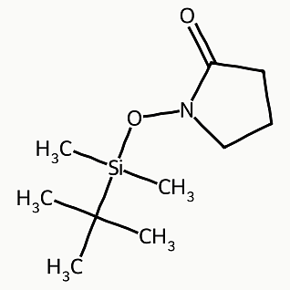 CC(C)(C)[Si](C)(C)ON1CCCC1=O